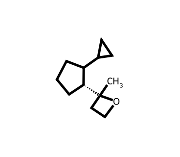 CC1([C@@H]2CCCC2C2CC2)CCO1